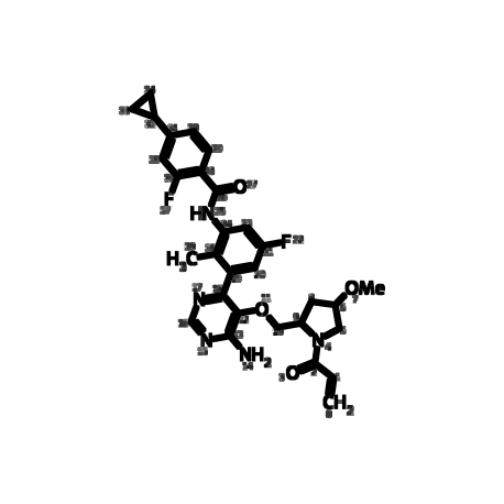 C=CC(=O)N1CC(OC)CC1COc1c(N)ncnc1-c1cc(F)cc(NC(=O)c2ccc(C3CC3)cc2F)c1C